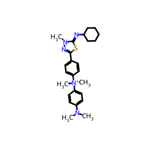 CN(C)c1ccc([N+](C)(C)c2ccc(-c3nn(C)c(=NC4CCCCC4)s3)cc2)cc1